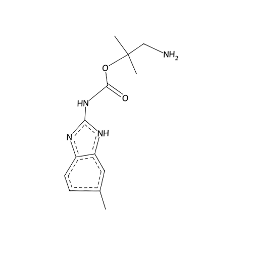 Cc1ccc2nc(NC(=O)OC(C)(C)CN)[nH]c2c1